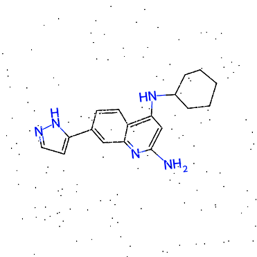 Nc1cc(NC2CCCCC2)c2ccc(-c3ccn[nH]3)cc2n1